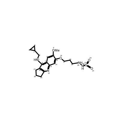 COc1cc2c(NCC3CC3)c3c(nc2cc1OCCCNN[SH](=O)=O)CCC3